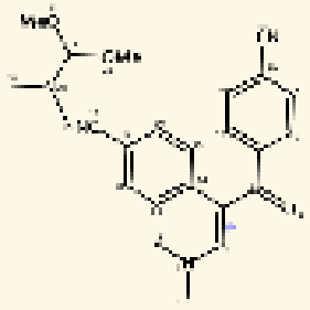 CN(C)/C=C(/C(=O)c1ccc(C#N)cc1)c1ccc(C#N)cc1.COC(OC)N(C)C